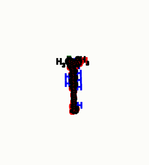 CC[C@]1(O)C(=O)OCc2c1cc1n(c2=O)Cc2c-1nc1cc(F)c(C)c3c1c2[C@H](NC(=O)C1CN(C(=O)CNC(=O)CNC(=O)CNC(=O)CNC(=O)CNC(=O)CCOCCOCCOCCOCCNC(=O)CCN2C(=O)C=CC2=O)C1)CC3